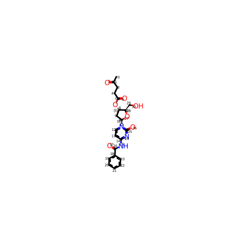 CC(=O)CCC(=O)O[C@H]1C[C@H](n2ccc(NC(=O)c3ccccc3)nc2=O)O[C@@H]1CO